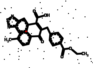 CCOC(=O)c1ccc(C/C(C(=O)c2ccc(C)cc2)=C(\C(=O)O)c2ccc3nsnc3c2)cc1